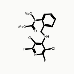 COC(=O)N(OC)c1ccccc1CNc1c(Cl)c(F)nc(F)c1Cl